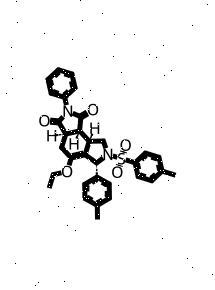 CCOC1=C2[C@H](CN(S(=O)(=O)c3ccc(C)cc3)[C@@H]2c2ccc(C)cc2)[C@@H]2C(=O)N(c3ccccc3)C(=O)[C@@H]2C1